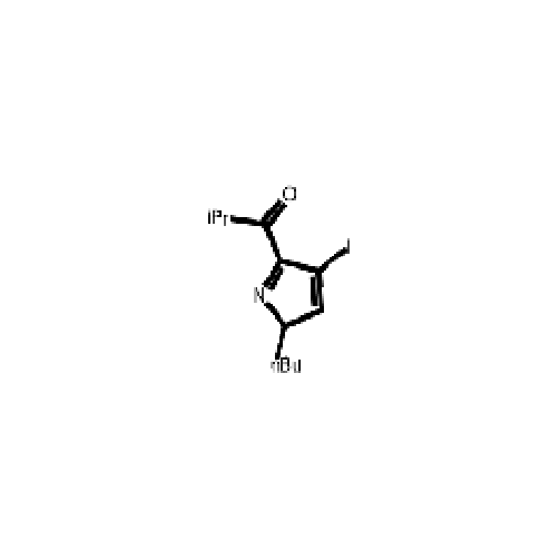 CCCCC1C=C(I)C(C(=O)C(C)C)=N1